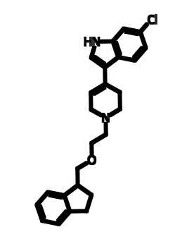 Clc1ccc2c(C3=CCN(CCOCC4CCc5ccccc54)CC3)c[nH]c2c1